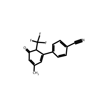 CC1=[C]C(=O)C(C(F)(F)F)C(c2ccc(C#N)cc2)=C1